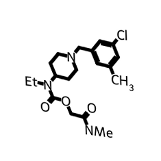 CCN(C(=O)OCC(=O)NC)C1CCN(Cc2cc(C)cc(Cl)c2)CC1